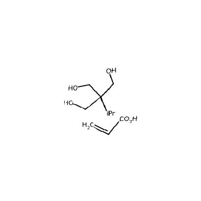 C=CC(=O)O.CC(C)C(CO)(CO)CO